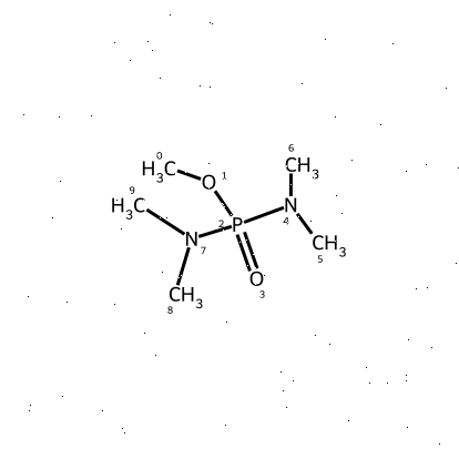 COP(=O)(N(C)C)N(C)C